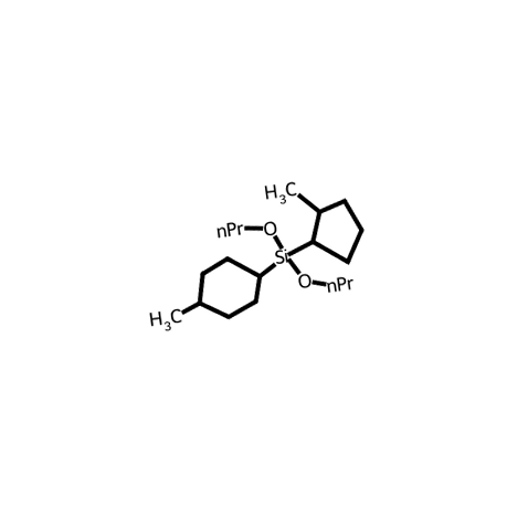 CCCO[Si](OCCC)(C1CCC(C)CC1)C1CCCC1C